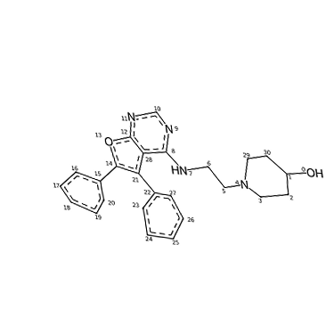 OC1CCN(CCNc2ncnc3oc(-c4ccccc4)c(-c4ccccc4)c23)CC1